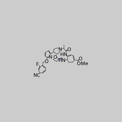 COC(=O)C1=CC=C(NC(=O)C(C)N2CCC(c3cccc(OCC4=CC=CC(C#N)C=C4F)n3)CC2)C(N/C=C2\CCO2)CC1